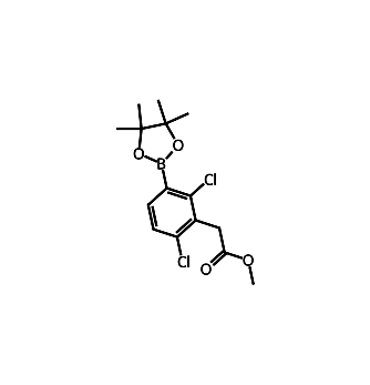 COC(=O)Cc1c(Cl)ccc(B2OC(C)(C)C(C)(C)O2)c1Cl